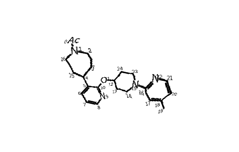 CC(=O)N1CCC(c2cccnc2OC2CCN(c3cc(C)ccn3)CC2)CC1